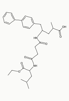 CCOC(=O)C(CC(C)C)NC(=O)CCC(=O)NC(Cc1ccc(-c2ccccc2)cc1)CC(C)C(=O)O